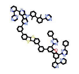 Cc1c(-c2cnccn2)cccc1-c1cccc(-n2c3cnc(-c4cccc(-c5ccc6c(c5)C5Sc7ccc(-c8cccc(-c9cc(-c%10nccc(-c%11ccccc%11)n%10)c%10oc%11c(-c%12nccc(-c%13ccccc%13)n%12)cc(-c%12cccnc%12-c%12ccccn%12)cc%11c%10c9)c8)cc7C5S6)c4)cc3c3cc(-c4cccnc4-c4cnccn4)ncc32)c1C